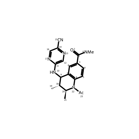 CNC(=O)c1ccc2c(c1)C(Nc1cnc(C#N)cn1)[C@@H](C)[C@H](C)N2C(C)=O